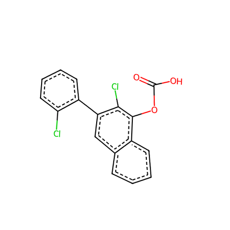 O=C(O)Oc1c(Cl)c(-c2ccccc2Cl)cc2ccccc12